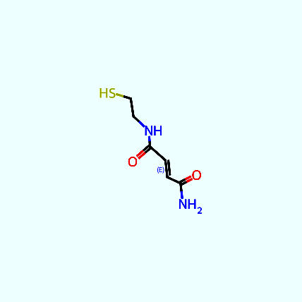 NC(=O)/C=C/C(=O)NCCS